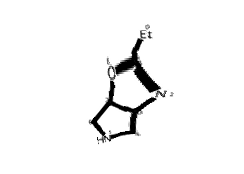 CCC1=NC2CNCC2O1